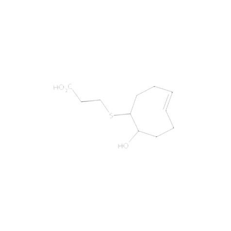 O=C(O)CCSC1CC/C=C/CCC1O